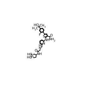 CC(C)(O)c1ccc(-c2cc(C(N)=O)c(Nc3cccc(CNCC(=O)NC4CCS(O)(O)C4)n3)s2)c(F)c1